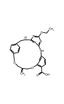 C=C1COc2ccc(cc2)CNc2nc(nc(OCC)n2)Nc2ccc(C(=O)O)c(c2)OC1